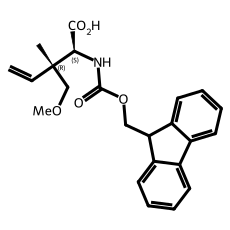 C=C[C@@](C)(COC)[C@H](NC(=O)OCC1c2ccccc2-c2ccccc21)C(=O)O